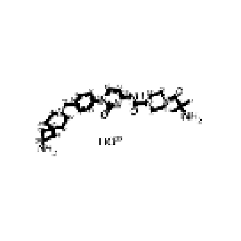 CC(C)(N)C(=O)N1CCN(C(=O)Nc2ccn(-c3ccc(CN4CCC5(CC4)CC(N)C5)cc3)c(=O)n2)CC1.Cl